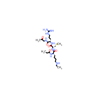 CCNCCCC[C@H](NC(=O)CC)C(=O)N[C@@H](CSC)C(=O)N[C@@H](CCCNC(=N)N)C(=O)NCC(C)=O